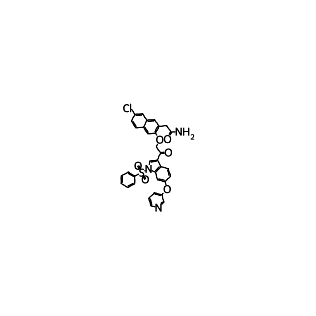 NC(=O)Cc1cc2cc(Cl)ccc2cc1OCC(=O)c1cn(S(=O)(=O)c2ccccc2)c2cc(Oc3cccnc3)ccc12